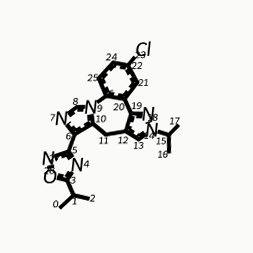 CC(C)c1nc(-c2ncn3c2Cc2cn(C(C)C)nc2-c2cc(Cl)ccc2-3)no1